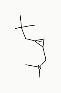 CN(C)CC1C=C1CC(C)(C)C